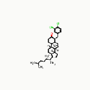 CC(C)CCC[C@@H](C)[C@H]1CC[C@H]2[C@@H]3CCC4[C@H](Cc5ccc(Cl)c(Cl)c5)C(=O)CC[C@]4(C)[C@H]3CC[C@]12C